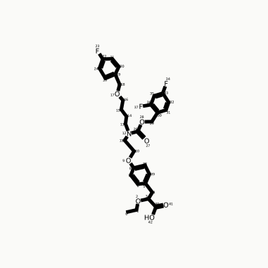 CCOC(Cc1ccc(OCCN(CCCCOCc2ccc(F)cc2)C(=O)OCc2ccc(F)cc2F)cc1)C(=O)O